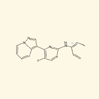 C=C/C(=C\C)Nc1ncc(I)c(-c2cnn3ccccc23)n1